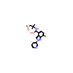 C[S+]([O-])CC(C)(C)NC(O)c1ccc(F)c2nn(-c3cccnc3)cc12